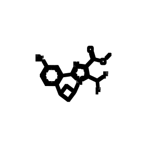 COC(=O)c1nc2n(c1C(F)F)C1CC(C1)c1ccc(Br)cc1-2